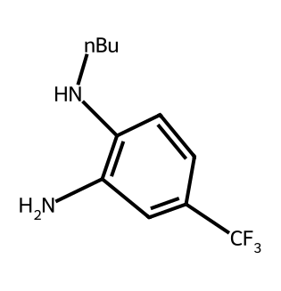 CCCCNc1ccc(C(F)(F)F)cc1N